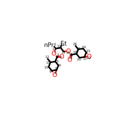 CCCC(OC(=O)C1CC2OC2CC1C)C(CC)COC(=O)C1CC2OC2CC1C